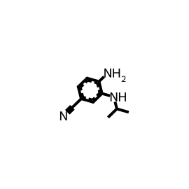 CC(C)Nc1cc(C#N)ccc1N